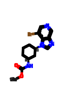 CC(C)(C)OC(=O)N[C@@H]1CCC[C@H](n2cnc3cncc(Br)c32)C1